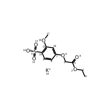 CCOC(=O)COc1ccc(S(=O)(=O)[O-])c(OC)c1.[K+]